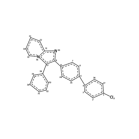 Clc1ccc(-c2ccc(-c3nc4ccccn4c3-c3ccccc3)cc2)cc1